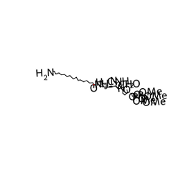 C/N=C(N)\C(C#CCCCNC(=O)CCCCCCCCCCCCCCCN)=C/N(C=O)[C@H]1CC[C@@H](COP(OC)OP(OC)OP(OC)OC)O1